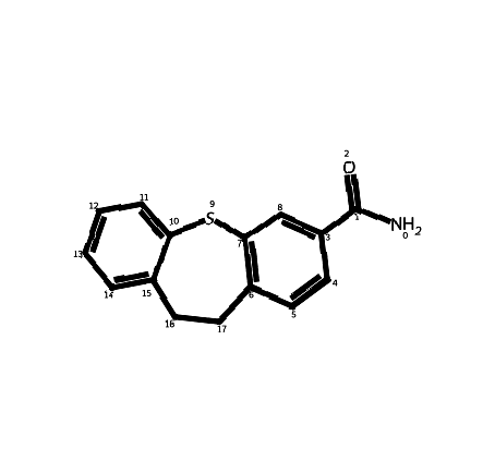 NC(=O)c1ccc2c(c1)Sc1ccccc1CC2